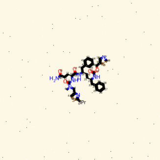 CC(C)c1nc(CN(C)C(=O)N[C@@H](CCC(N)=O)C(=O)N[C@H](CC[C@H](Cc2ccccc2)NC(=O)OCc2cncs2)Cc2ccccc2)cs1